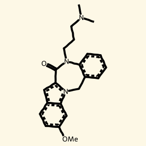 COc1ccc2cc3n(c2c1)Cc1ccccc1N(CCCN(C)C)C3=O